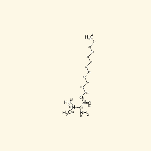 CCCCCCCCCCCCOC(=O)C(N)N(C)C